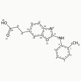 Cc1ccccc1Nc1nc2ccc(CCC(=O)O)cc2o1